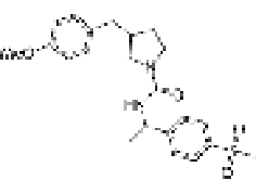 COc1ccc(CC2CCN(C(=O)NC(C)c3ccc(S(C)(=O)=O)cc3)C2)cc1